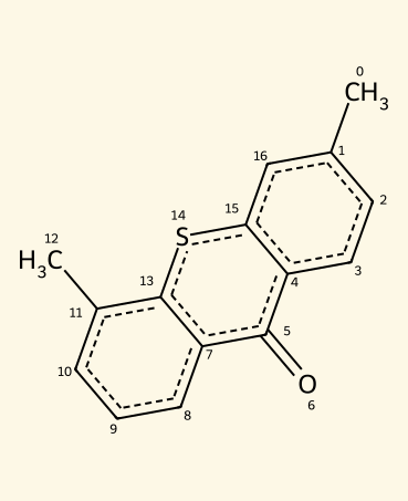 Cc1ccc2c(=O)c3cccc(C)c3sc2c1